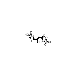 O=C(CC(O)C(=O)OS(=O)(=O)O)OS(=O)(=O)O